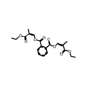 CCOC(=O)C(C)=COC(=O)c1ccccc1C(=O)OC=C(C)C(=O)OCC